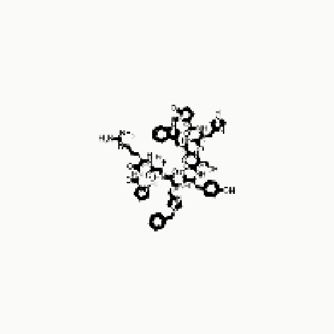 CCN1CCC[C@H]1C(=O)NC(=O)[C@H](CCCN=C(N)N)NC(=O)[C@H](CC(C)C)NC(=O)[C@@H](Cc1cn(Cc2ccccc2)cn1)NC(=O)[C@H](Cc1ccc(O)cc1)NC(=O)[C@H](CO)NC(=O)[C@H](Cc1c[nH]c2ccccc12)NC(=O)[C@H](Cc1c[nH]cn1)NC(=O)[C@@H]1CCC(=O)N1